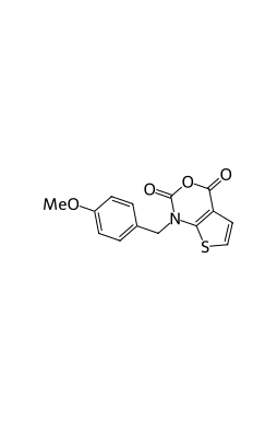 COc1ccc(Cn2c(=O)oc(=O)c3ccsc32)cc1